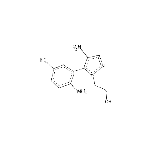 Nc1ccc(O)[c]c1-c1c(N)cnn1CCO